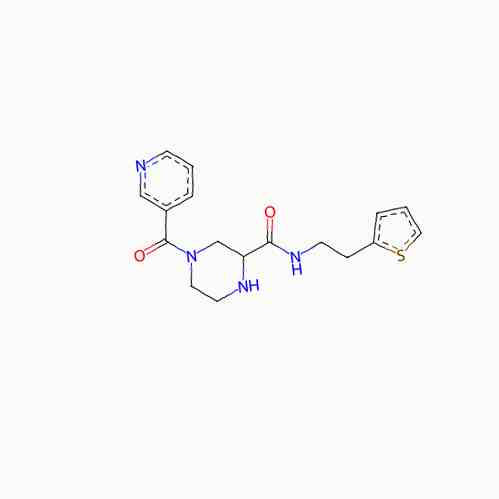 O=C(NCCc1cccs1)C1CN(C(=O)c2cccnc2)CCN1